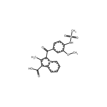 COc1cc(C(=O)c2c(C)c(C(=O)O)c3ccccn23)ccc1NS(C)(=O)=O